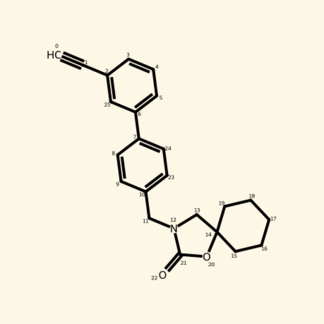 C#Cc1cccc(-c2ccc(CN3CC4(CCCCC4)OC3=O)cc2)c1